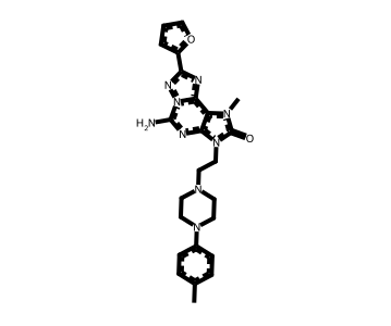 Cc1ccc(N2CCN(CCn3c(=O)n(C)c4c3nc(N)n3nc(-c5ccco5)nc43)CC2)cc1